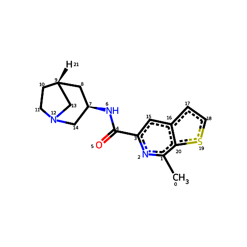 Cc1nc(C(=O)N[C@@H]2C[C@H]3CCN(C3)C2)cc2ccsc12